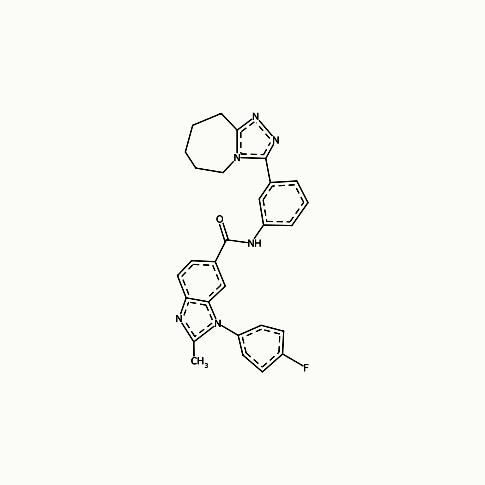 Cc1nc2ccc(C(=O)Nc3cccc(-c4nnc5n4CCCCC5)c3)cc2n1-c1ccc(F)cc1